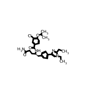 CCc1nc(-c2ccc(C[C@@H](CCC(N)=O)NC(=O)c3ccc(OC(C)C)c(Cl)c3)cc2)cn1CC